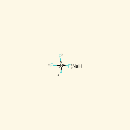 F[B-](F)(F)F.[NaH]